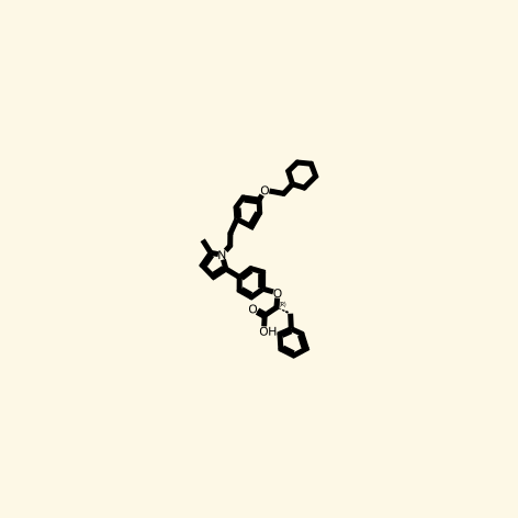 Cc1ccc(-c2ccc(O[C@H](Cc3ccccc3)C(=O)O)cc2)n1CCc1ccc(OCC2CCCCC2)cc1